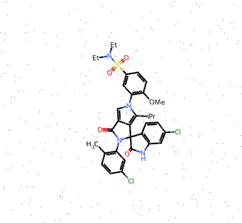 CCN(CC)S(=O)(=O)c1ccc(OC)c(-n2cc3c(c2C(C)C)C2(C(=O)Nc4cc(Cl)ccc42)N(c2cc(Cl)ccc2C)C3=O)c1